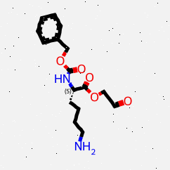 NCCCC[C@H](NC(=O)OCc1ccccc1)C(=O)OCC=O